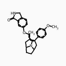 C=CCN1C2CCC1CC(c1ccc(OC)cc1)=C(COc1ccc3c(c1)C(=O)NC3)C2